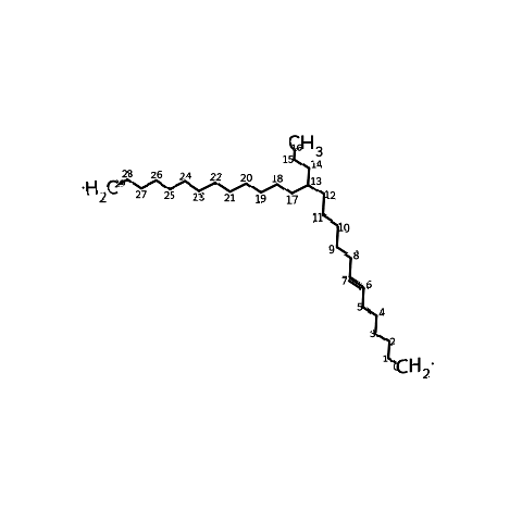 [CH2]CCCCCC=CCCCCCC(CCC)CCCCCCCCCCCC[CH2]